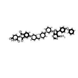 Nc1ncnc2c1c(-c1ccc(Oc3ccccc3)cc1)nn2[C@@H]1CCCN(C2CCN(CC3CCN(c4ccc5c(c4)C(=O)N(C4CCC(=O)NC4=O)C5=O)CC3)CC2)C1